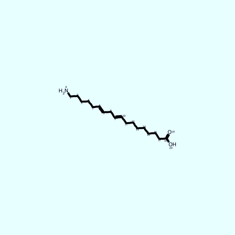 NCCCCCC=CCC=CCCCCCCCC(=O)O